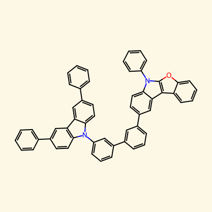 c1ccc(-c2ccc3c(c2)c2cc(-c4ccccc4)ccc2n3-c2cccc(-c3cccc(-c4ccc5c(c4)c4c6ccccc6oc4n5-c4ccccc4)c3)c2)cc1